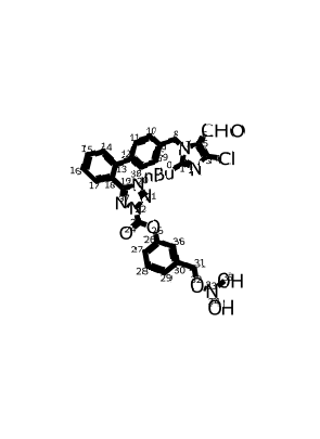 CCCCc1nc(Cl)c(C=O)n1Cc1ccc(-c2ccccc2-c2nnn(C(=O)Oc3cccc(CON(O)O)c3)n2)cc1